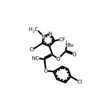 Cn1nc(C(F)(F)F)c(C(OC(=O)C(C)(C)C)=C(C#N)Oc2ccc(Cl)cc2)c1Cl